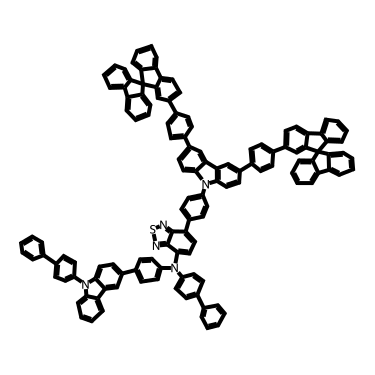 c1ccc(-c2ccc(N(c3ccc(-c4ccc5c(c4)c4ccccc4n5-c4ccc(-c5ccccc5)cc4)cc3)c3ccc(-c4ccc(-n5c6ccc(-c7ccc(-c8ccc9c(c8)C8(c%10ccccc%10-c%10ccccc%108)c8ccccc8-9)cc7)cc6c6cc(-c7ccc(-c8ccc9c(c8)C8(c%10ccccc%10-c%10ccccc%108)c8ccccc8-9)cc7)ccc65)cc4)c4nsnc34)cc2)cc1